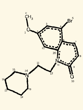 COc1cc(Br)c2ccc(=O)n(CCN3CC[CH]CC3)c2c1